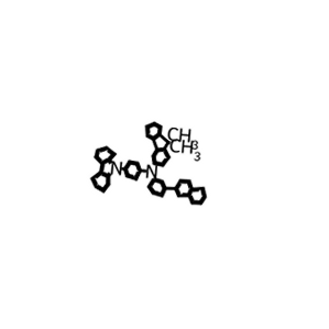 CC1(C)c2ccccc2-c2cc(N(c3ccc(-n4c5ccccc5c5ccccc54)cc3)c3cccc(-c4ccc5ccccc5c4)c3)ccc21